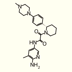 Cc1cc(NC(=O)C(=O)N2CCCC[C@H]2c2ccc(N3CCN(C)CC3)cc2)cnc1N